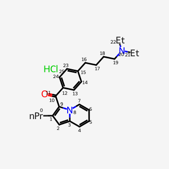 CCCc1cc2ccccn2c1C(=O)c1ccc(CCCCN(CC)CC)cc1.Cl